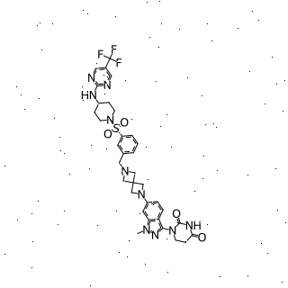 Cn1nc(N2CCC(=O)NC2=O)c2ccc(N3CC4(CN(Cc5cccc(S(=O)(=O)N6CCC(Nc7ncc(C(F)(F)F)cn7)CC6)c5)C4)C3)cc21